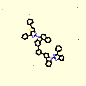 c1ccc(-c2cc3nc(-n4c5ccc(-c6cccc(-c7ccc8c(c7)c7ccccc7n8-c7nc(-c8ccccc8)c8ccccc8n7)c6)cc5c5c6ccccc6ccc54)nc(-c4ccccc4)c3s2)cc1